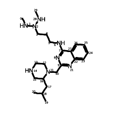 CNN(CCCNc1nc(CN2CCNCC2CC(C)C)nc2ccccc12)NC